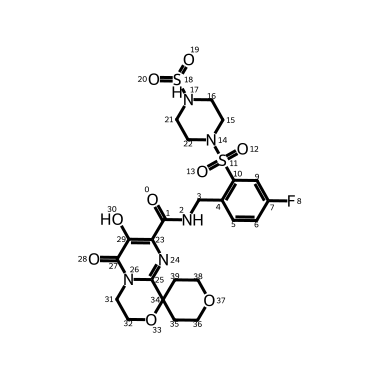 O=C(NCc1ccc(F)cc1S(=O)(=O)N1CCN([SH](=O)=O)CC1)c1nc2n(c(=O)c1O)CCOC21CCOCC1